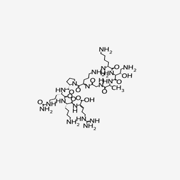 C[C@H](NC(=O)[C@@H](NC(=O)[C@@H](N)CCCCN)[C@@H](O)CN)C(=O)NCC(=O)/N=C(\CCCN)C(=O)N1CCC[C@H]1C(=O)N[C@@H](CCCNC(N)=O)C(=O)N[C@@H](CCCCN)C(=O)N/C(=C\CCNC(=N)N)C(=O)O